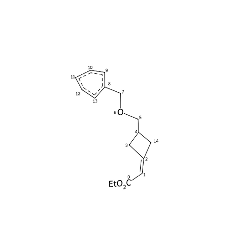 CCOC(=O)C=C1CC(COCc2ccccc2)C1